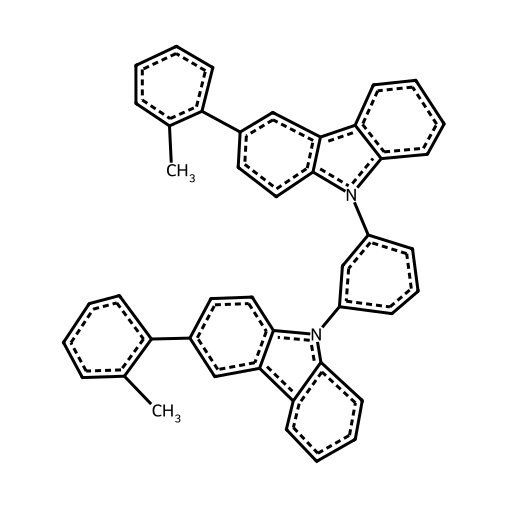 Cc1ccccc1-c1ccc2c(c1)c1ccccc1n2-c1cccc(-n2c3ccccc3c3cc(-c4ccccc4C)ccc32)c1